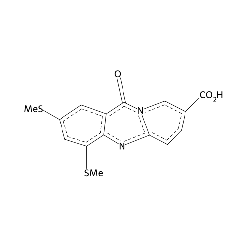 CSc1cc(SC)c2nc3ccc(C(=O)O)cn3c(=O)c2c1